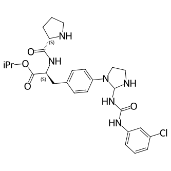 CC(C)OC(=O)[C@H](Cc1ccc(N2CCNC2NC(=O)Nc2cccc(Cl)c2)cc1)NC(=O)[C@@H]1CCCN1